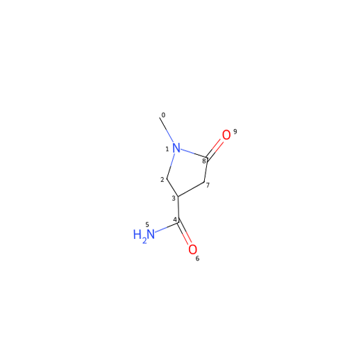 CN1CC(C(N)=O)CC1=O